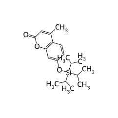 Cc1cc(=O)oc2cc(O[Si](C(C)C)(C(C)C)C(C)C)ccc12